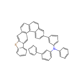 c1ccc(-c2cccc(N(c3ccccc3)c3cccc(-c4ccc5c(ccc6ccc7cc8sc9ccccc9c8cc7c65)c4)c3)c2)cc1